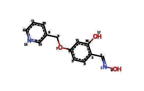 ON=Cc1ccc(OCc2cccnc2)cc1O